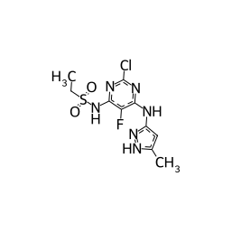 CCS(=O)(=O)Nc1nc(Cl)nc(Nc2cc(C)[nH]n2)c1F